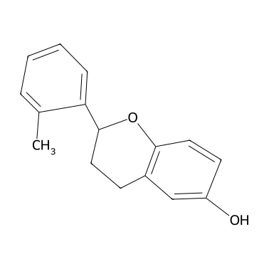 Cc1ccccc1C1CCc2cc(O)ccc2O1